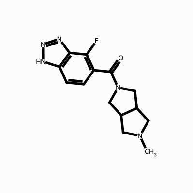 CN1CC2CN(C(=O)c3ccc4[nH]nnc4c3F)CC2C1